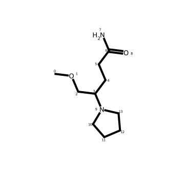 COCC(CCC(N)=O)N1CCCC1